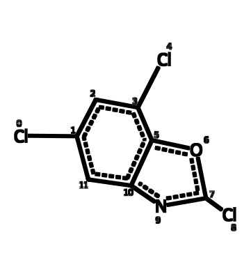 Clc1cc(Cl)c2oc(Cl)nc2c1